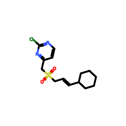 O=S(=O)(CC=CC1CCCCC1)Cc1ccnc(Cl)n1